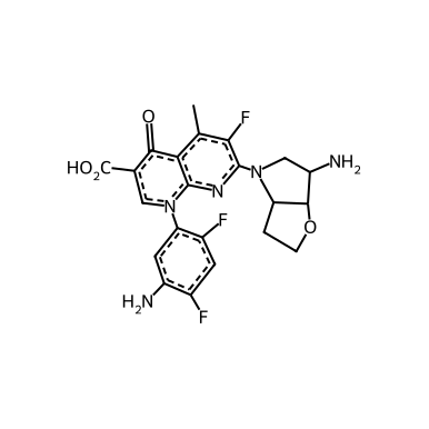 Cc1c(F)c(N2CC(N)C3OCCC32)nc2c1c(=O)c(C(=O)O)cn2-c1cc(N)c(F)cc1F